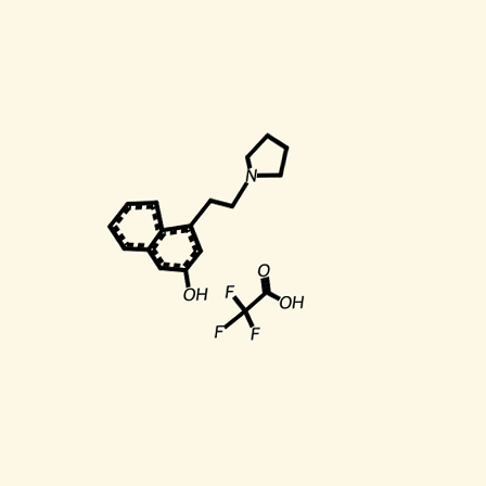 O=C(O)C(F)(F)F.Oc1cc(CCN2CCCC2)c2ccccc2c1